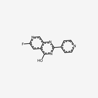 Oc1nc(-c2ccncc2)nc2cnc(F)cc12